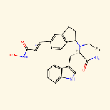 CCN(C1CCc2cc(/C=C/C(=O)NO)ccc21)[C@@H](Cc1c[nH]c2ccccc12)C(N)=O